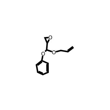 C=CCOC(Oc1ccccc1)C1CO1